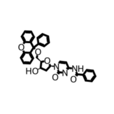 O=C(Nc1ccn([C@H]2C[C@H](O)[C@@H](COC3(c4ccccc4)c4ccccc4Oc4ccccc43)O2)c(=O)n1)c1ccccc1